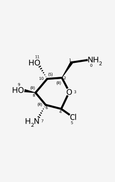 NC[C@H]1OC(Cl)[C@H](N)[C@@H](O)[C@@H]1O